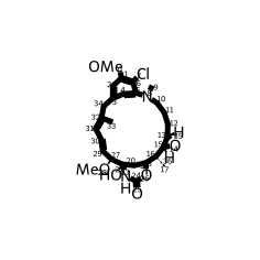 COc1cc2cc(c1Cl)N(C)CCC[C@@H]1O[C@H]1[C@H](C)C1(I)C[C@@](O)(NC(=O)O1)[C@H](OC)/C=C/C=C(\C)C2